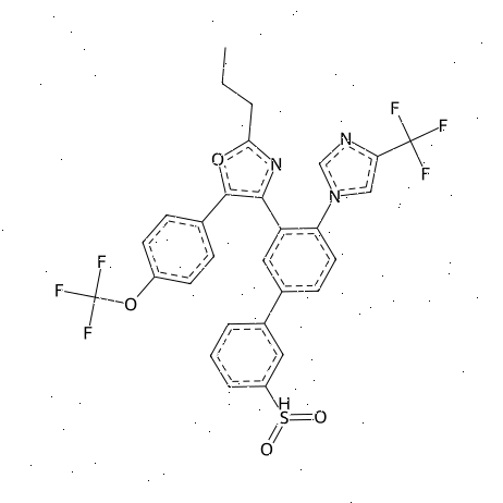 CCCc1nc(-c2cc(-c3cccc([SH](=O)=O)c3)ccc2-n2cnc(C(F)(F)F)c2)c(-c2ccc(OC(F)(F)F)cc2)o1